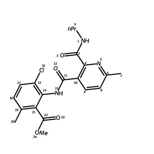 CCCNC(=O)c1nc(C)ccc1C(=O)Nc1c(Cl)ccc(C)c1C(=O)OC